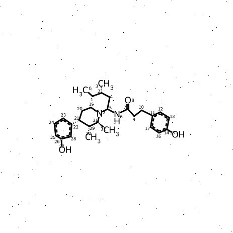 CC[C@H](C)CC(NC(=O)CCc1ccc(O)cc1)N1CC[C@@H](c2cccc(O)c2)[C@@H](C)[C@@H]1C